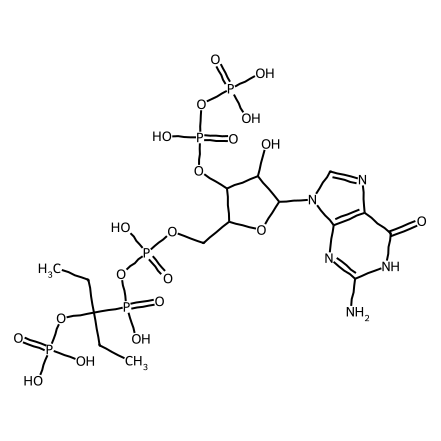 CCC(CC)(OP(=O)(O)O)P(=O)(O)OP(=O)(O)OCC1OC(n2cnc3c(=O)[nH]c(N)nc32)C(O)C1OP(=O)(O)OP(=O)(O)O